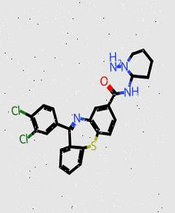 NN1CCCCC1NC(=O)c1ccc2c(c1)N=C(c1ccc(Cl)c(Cl)c1)c1ccccc1S2